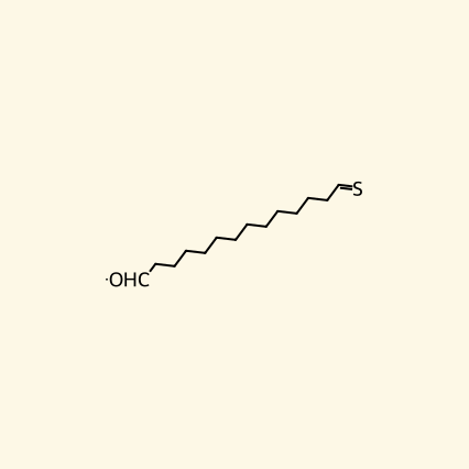 O=[C]CCCCCCCCCCCCC=S